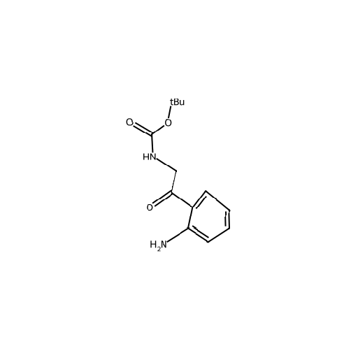 CC(C)(C)OC(=O)NCC(=O)c1ccccc1N